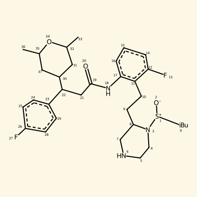 CCC(C)[S+]([O-])N1CCNCC1CCc1c(F)cccc1NC(=O)CC(c1ccc(F)cc1)C1CC(C)OC(C)C1